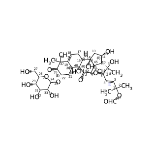 CC(C)(/C=C/C(=O)C(C)(O)[C@H]1[C@H](O)C[C@@]2(C)[C@@H]3CC=C4[C@@H](C[C@H](OC5OC(CO)C(O)C(O)C5O)C(=O)C4(C)C)[C@]3(C)C(=O)C[C@]12C)OC=O